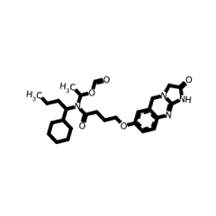 CCCC(C1CCCCC1)N(C(=O)CCCOc1ccc2c(c1)CN1CC(=O)NC1=N2)C(C)OC=O